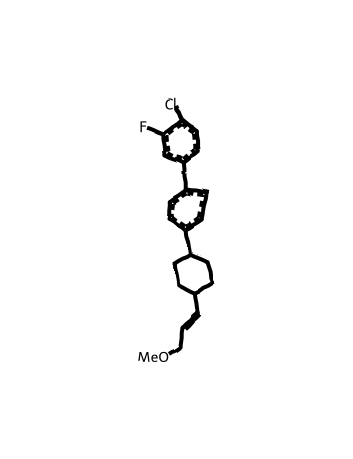 COC/C=C/C1CCC(c2ccc(-c3ccc(Cl)c(F)c3)cc2)CC1